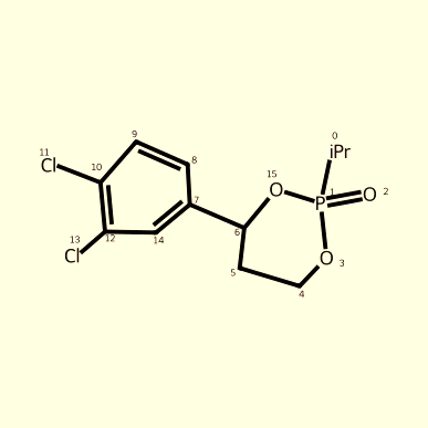 CC(C)P1(=O)OCCC(c2ccc(Cl)c(Cl)c2)O1